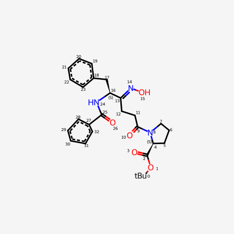 CC(C)(C)OC(=O)[C@@H]1CCCN1C(=O)CCC(=NO)[C@H](Cc1ccccc1)NC(=O)c1ccccc1